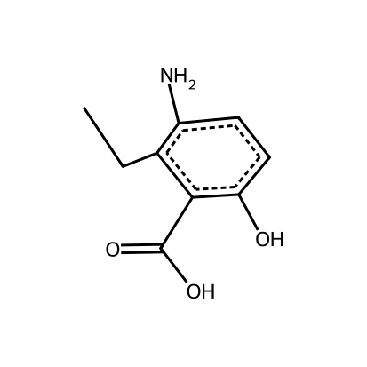 CCc1c(N)ccc(O)c1C(=O)O